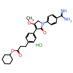 COC1=C(c2ccc(CCC(=O)OC3CCCCC3)cc2)C(=O)N(c2ccc(C(=N)N)cc2)C1.Cl